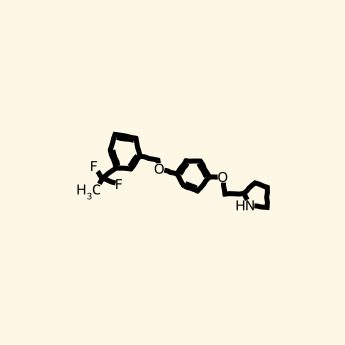 CC(F)(F)c1cccc(COc2ccc(OCC3CCCN3)cc2)c1